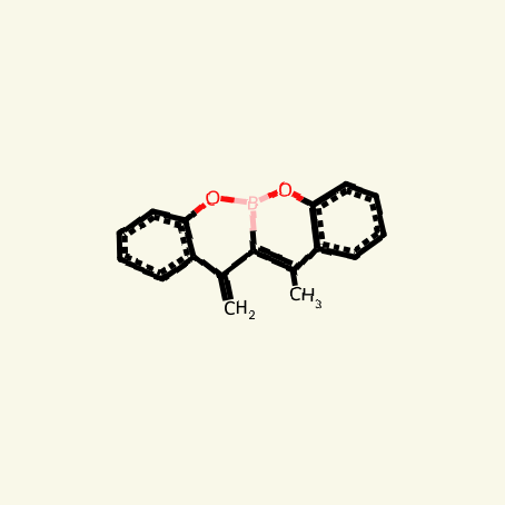 C=C1C2=C(C)c3ccccc3OB2Oc2ccccc21